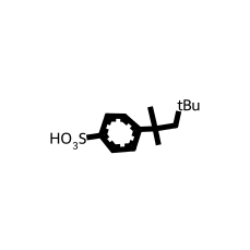 CC(C)(C)CC(C)(C)c1ccc(S(=O)(=O)O)cc1